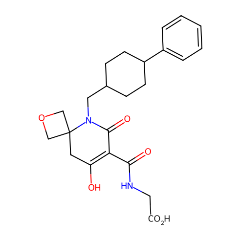 O=C(O)CNC(=O)C1=C(O)CC2(COC2)N(CC2CCC(c3ccccc3)CC2)C1=O